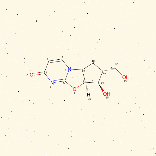 O=c1ccn2c(n1)O[C@H]1C2C[C@H](CO)[C@H]1O